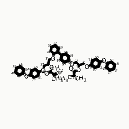 C=C(C)C(=O)OC(COc1ccc(Oc2ccccc2)cc1)COc1ccc(-c2ccccc2OCC(COc2ccc(Oc3ccccc3)cc2)OC(=O)C(=C)C)cc1